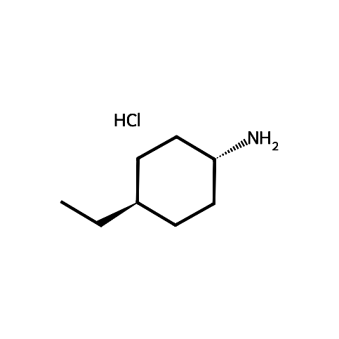 CC[C@H]1CC[C@H](N)CC1.Cl